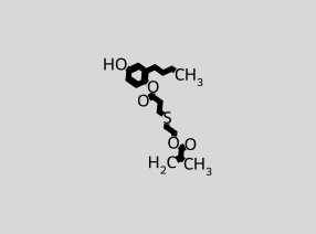 C=C(C)C(=O)OCCSCCC(=O)Oc1ccc(O)cc1CCCC